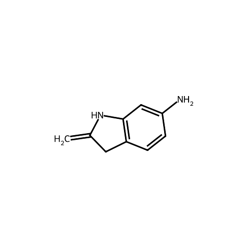 C=C1Cc2ccc(N)cc2N1